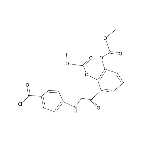 COC(=O)Oc1cccc(C(=O)CNc2ccc(C(=O)Cl)cc2)c1OC(=O)OC